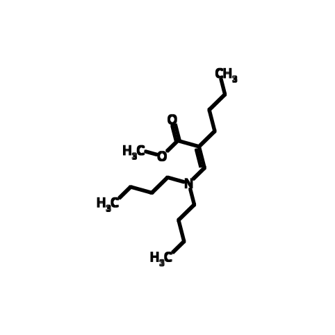 CCCCC(=CN(CCCC)CCCC)C(=O)OC